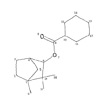 CC12CCC(C1)C(OC(=O)C1CCCCC1)C2(C)C